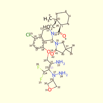 C[C@]1(C(=O)O)CCCC[C@H]1C(=O)N1CCc2c(Cl)ccc(OC/C(N)=C(\C(F)F)N(N)C3COC3)c2C1N1CC2(CC2)CC1=O